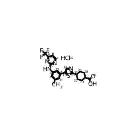 Cc1cc(Nc2nccc(C(F)(F)F)n2)cc(-c2cnc(C3CCC(C(=O)O)CC3)s2)c1.Cl